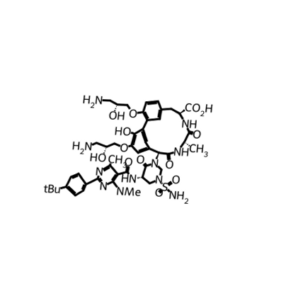 CNc1nc(-c2ccc(C(C)(C)C)cc2)nc(C)c1C(=O)N[C@H]1CN(S(N)(=O)=O)CN([C@@H]2C(=O)N[C@@H](C)C(=O)N[C@H](C(=O)O)Cc3ccc(OC[C@H](O)CN)c(c3)-c3cc2cc(OC[C@H](O)CN)c3O)C1=O